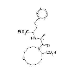 CCOC(=O)C(CCc1ccccc1)N[C@@H](C)C(=O)N1CCCOCCCCC1C(=O)O